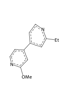 CCc1cc(-c2ccnc(OC)c2)ccn1